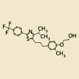 Cc1cc(CCCc2sc(-c3ccc(C(F)(F)F)cc3)nc2C(C)C)ccc1OCCO